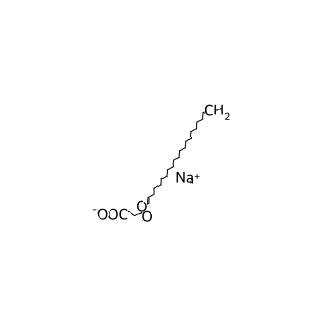 C=CCCCCCCCCCCCCCCCCCC=COC(=O)CCC(=O)[O-].[Na+]